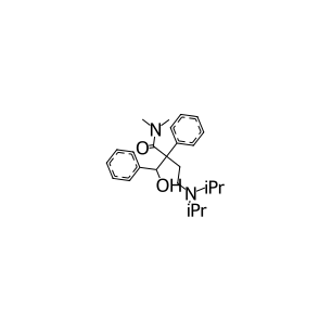 CC(C)N(CCC(C(=O)N(C)C)(c1ccccc1)C(O)c1ccccc1)C(C)C